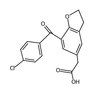 O=C(O)Cc1cc2c(c(C(=O)c3ccc(Cl)cc3)c1)OCC2